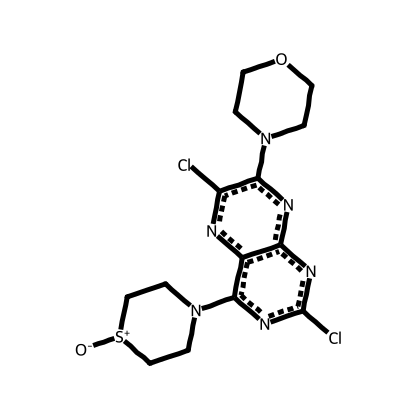 [O-][S+]1CCN(c2nc(Cl)nc3nc(N4CCOCC4)c(Cl)nc23)CC1